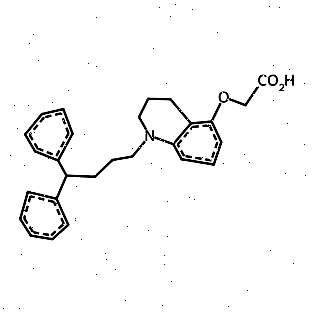 O=C(O)COc1cccc2c1CCCN2CCCC(c1ccccc1)c1ccccc1